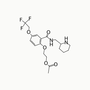 CC(=O)OCCOc1ccc(OCC(F)(F)F)cc1C(=O)NCC1CCCCN1